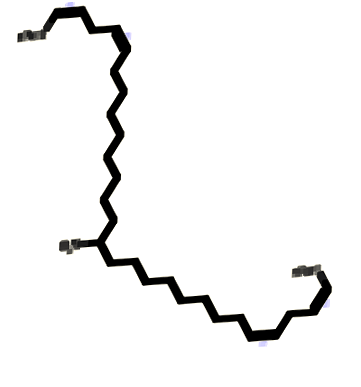 CCCCC/C=C\C/C=C\CCCCCCCCC(CCCCCCCC/C=C\C/C=C\CCCCC)[N+](=O)[O-]